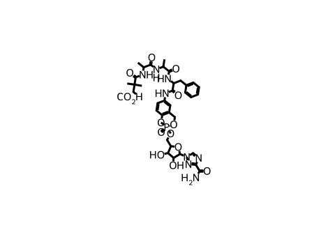 CC(NC(=O)C(C)NC(=O)C(C)(C)CC(=O)O)C(=O)NC(Cc1ccccc1)C(=O)Nc1ccc2c(c1)COP(=O)(OCC1OC(n3cnc(C(N)=O)n3)C(O)C1O)O2